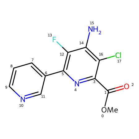 COC(=O)c1nc(-c2cccnc2)c(F)c(N)c1Cl